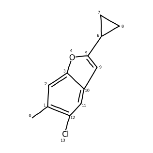 Cc1cc2oc(C3CC3)cc2cc1Cl